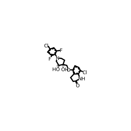 O=C1CCc2c(OC[C@]3(O)CCN(c4c(F)cc(Cl)cc4F)C[C@H]3O)ccc(Cl)c2N1